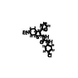 CCN1CCc2c(sc(NC(=O)Nc3ccc(Cl)cc3)c2-c2nnco2)C1